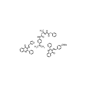 CC(CC(=O)Nc1ccc(N(C)C)cc1)=NNC(=O)Cc1ccccc1.COc1ccc(C=Nn2c(-c3ccccc3)nc3ccccc3c2=O)cc1.O=c1c2ccccc2nc(-c2ccccc2)n1N=Cc1ccoc1